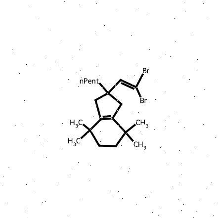 CCCCCC1(C=C(Br)Br)CC2=C(C1)C(C)(C)CCC2(C)C